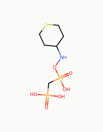 O=P(O)(O)CP(=O)(O)ONC1CCSCC1